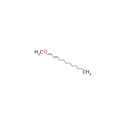 [CH2]OC=CC=CCCCCCCCCC